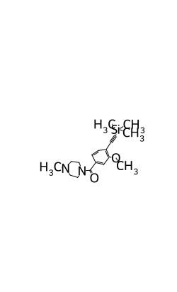 COc1cc(C(=O)N2CCN(C)CC2)ccc1C#C[Si](C)(C)C